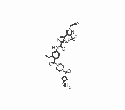 CCc1cc(NC(=O)c2ncc(-c3cn(CC#N)nc3C(F)(F)F)n2C)ccc1C(=O)N1CCN(C(=O)[C@H]2C[C@H](N)C2)CC1